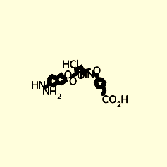 Cl.N=C(N)c1ccc2cc(OC(=O)c3ccc(CNC(=O)c4ccc(CCC(=O)O)cc4)o3)ccc2c1